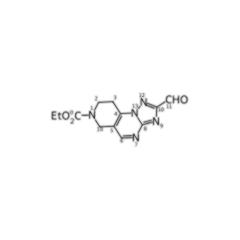 CCOC(=O)N1CCc2c(cnc3nc(C=O)nn23)C1